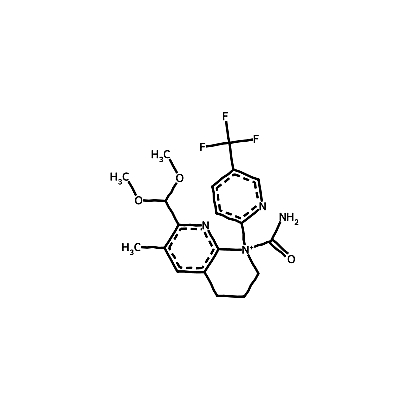 COC(OC)c1nc2c(cc1C)CCC[N+]2(C(N)=O)c1ccc(C(F)(F)F)cn1